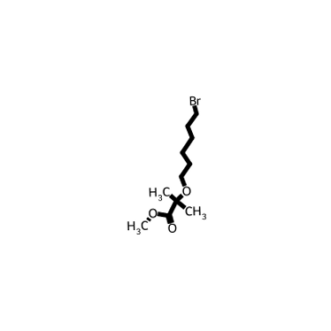 COC(=O)C(C)(C)OCCCCCCBr